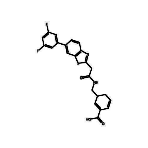 O=C(Cc1nc2ccc(-c3cc(F)cc(F)c3)cc2s1)NCC1C=C(C(=O)O)C=CC1